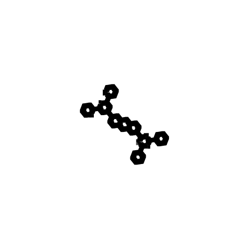 c1ccc(-c2nc(-c3ccccc3)nc(-c3ccc4cc5cc(-c6cc(-c7ccccn7)nc(-c7ccccn7)c6)ccc5cc4c3)n2)cc1